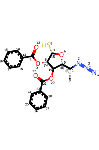 C[C@@H](N=[N+]=[N-])[C@H]1O[C@@H](S)[C@@H](OC(=O)c2ccccc2)C1OC(=O)c1ccccc1